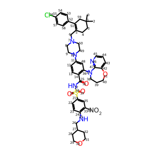 CC1(C)CCC(CN2CCN(c3ccc(C(=O)NS(=O)(=O)c4ccc(NCC5CCOCC5)c([N+](=O)[O-])c4)c(N4CCCOc5cccnc54)c3)CC2)=C(c2ccc(Cl)cc2)C1